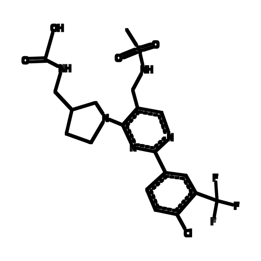 CS(=O)(=O)NCc1cnc(-c2ccc(Cl)c(C(F)(F)F)c2)nc1N1CCC(CNC(=O)O)C1